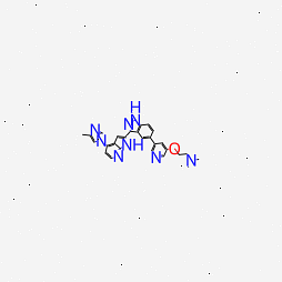 Cc1cn(-c2ccnc3[nH]c(-c4n[nH]c5ccc(-c6cncc(OCCN(C)C)c6)cc45)cc23)cn1